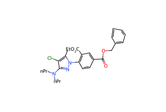 CCCN(CCC)c1nn(-c2ccc(C(=O)OCc3ccccc3)cc2C(=O)OCC)c(C)c1Cl